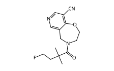 CC(C)(CCF)C(=O)N1CCOc2c(C#N)cncc2C1